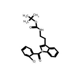 CC(C)(C)OC(=O)NCCc1cn(C(=O)c2ccccc2Cl)c2ccccc12